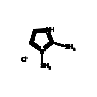 [Cl-].[SiH3]c1[nH]cc[n+]1[SiH3]